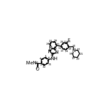 CNC(=O)c1ccc(Nc2nc3c(-c4ccc(CN5CCCCC5)c(F)c4)cccn3n2)cc1